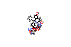 COc1ccc2c(c1)[C@@H]1C[C@]1(C(=O)N1CC34COCC3(C1)N(C(C)=O)C4)Cn1c-2c(C2CCCCC2)c2ccc(C(=O)NS(=O)(=O)N(C)C)cc21